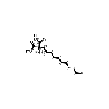 CCCCCCCCCCCC(N)(C(=O)O)C(=O)O